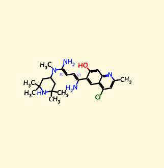 Cc1cc(Cl)c2cc(/C(N)=C/C=C(\N)N(C)C3CC(C)(C)NC(C)(C)C3)c(O)cc2n1